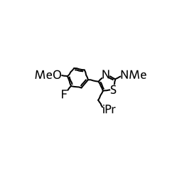 CNc1nc(-c2ccc(OC)c(F)c2)c(CC(C)C)s1